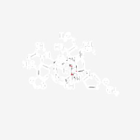 COc1ccc2[nH]c3c(c2c1)C[C@@H](CO)N[C@]31CS[C@@H]2c3c(OC(C)=O)c(C)c4c(c3C(COC1=O)N1[C@@H]2[C@@H]2N[C@@H](C(C)c3cc(C)c(OC)c(O)c32)[C@@H]1O)OCO4